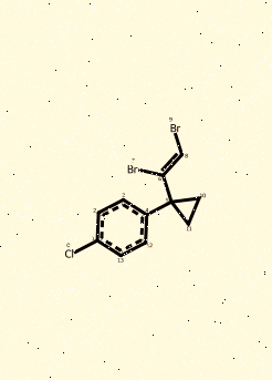 Clc1ccc(C2(C(Br)=CBr)CC2)cc1